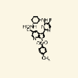 Cc1ccc(S(=O)(=O)n2cc(-c3ncc(F)c(N[C@@H]4CCC[C@H](NO)C4)n3)c3cc(Cl)cnc32)cc1